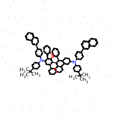 CC(C)(C)c1ccc(N(c2ccc(-c3ccc4ccccc4c3)cc2)c2ccc3c(-c4ccccc4)c(-c4c(-c5ccccc5)cc(N(c5ccc(-c6ccc7ccccc7c6)cc5)c5ccc(C(C)(C)C)cc5)c5c4oc4ccccc45)c4ccccc4c3c2)cc1